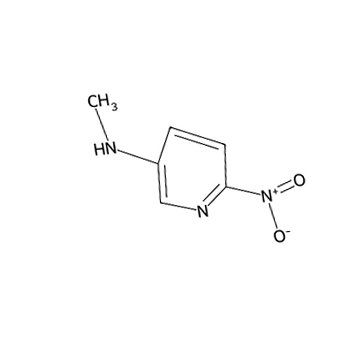 CNc1ccc([N+](=O)[O-])nc1